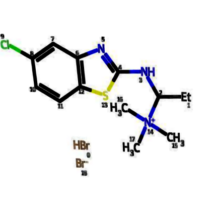 Br.CCC(Nc1nc2cc(Cl)ccc2s1)[N+](C)(C)C.[Br-]